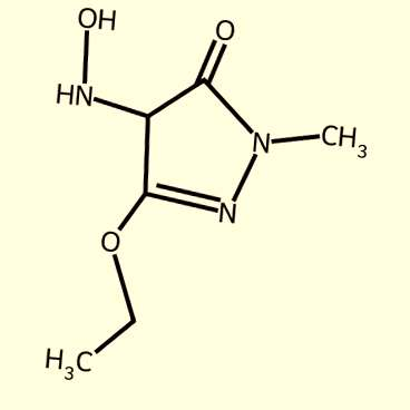 CCOC1=NN(C)C(=O)C1NO